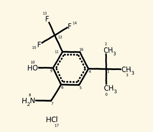 CC(C)(C)c1cc(CN)c(O)c(C(F)(F)F)c1.Cl